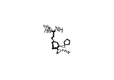 COc1ccc(CCC(=N)NC#N)cc1OC1CCCC1